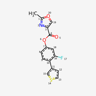 Cc1nc(C(=O)Oc2ccc(-c3ccsc3)c(F)c2)co1